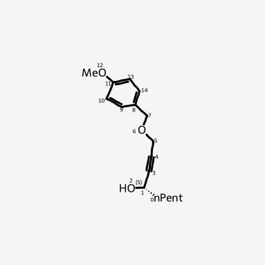 CCCCC[C@H](O)C#CCOCc1ccc(OC)cc1